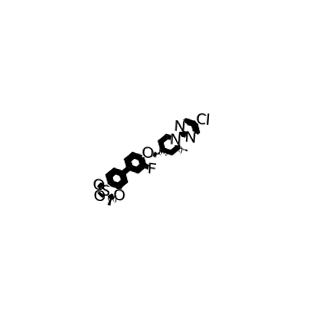 C[C@@H]1C[C@H](COc2ccc(-c3ccc4c(c3)O[C@@H](C)S4(=O)=O)cc2F)CCN1c1ncc(Cl)cn1